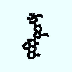 Cc1cc(C(O)Nc2cccc(-c3cccc(Br)c3Cl)c2Cl)nc2c1CCN(C(=O)OC(C)(C)C)C2